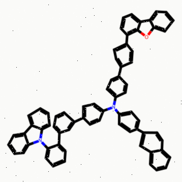 c1cc(-c2ccc(N(c3ccc(-c4ccc(-c5cccc6c5oc5ccccc56)cc4)cc3)c3ccc(-c4ccc5ccccc5c4)cc3)cc2)cc(-c2ccccc2-n2c3ccccc3c3ccccc32)c1